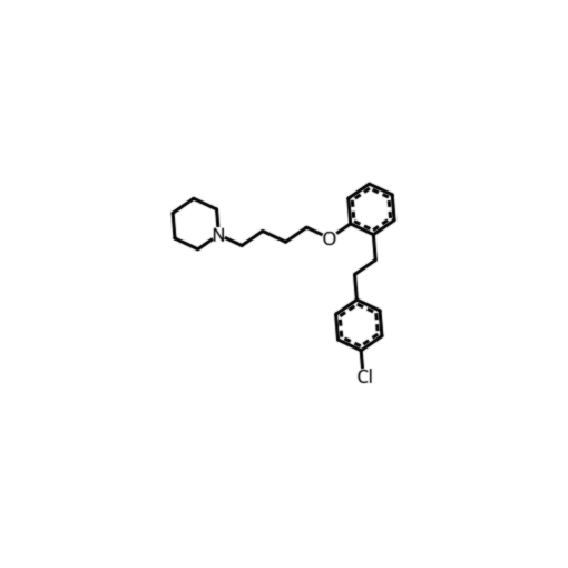 Clc1ccc(CCc2ccccc2OCCCCN2CCCCC2)cc1